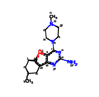 CC1CCc2oc3c(N4CCN(C)CC4)nc(N)nc3c2C1